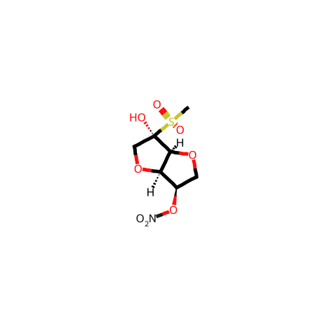 CS(=O)(=O)[C@]1(O)CO[C@@H]2[C@H](O[N+](=O)[O-])CO[C@@H]21